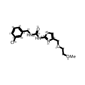 COCCOCc1csc(NC(=O)NCc2cccc(Cl)c2)n1